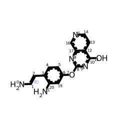 N/C=C/c1ccc(Oc2nc(O)c3ccncc3n2)cc1N